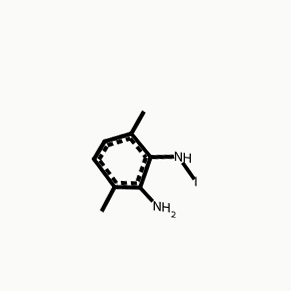 Cc1ccc(C)c(NI)c1N